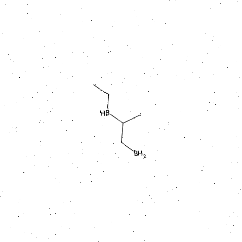 BCC(C)BCC